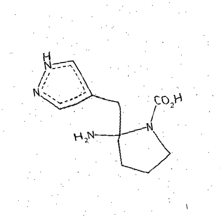 NC1(Cc2cn[nH]c2)CCCN1C(=O)O